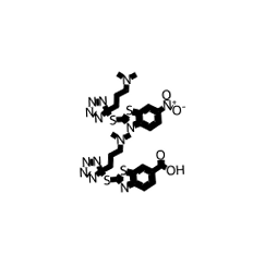 CN(C)CCCC1(Sc2nc3ccc(C(=O)O)cc3s2)N=NN=N1.CN(C)CCCC1(Sc2nc3ccc([N+](=O)[O-])cc3s2)N=NN=N1